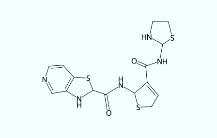 O=C(NC1NCCS1)C1=CCSC1NC(=O)C1Nc2cnccc2S1